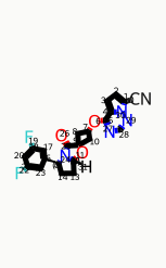 N#Cc1ccc2c(OC3CC4(C3)O[C@@H]3CC[C@@H](c5cc(F)cc(F)c5)N3C4=O)ncnn12